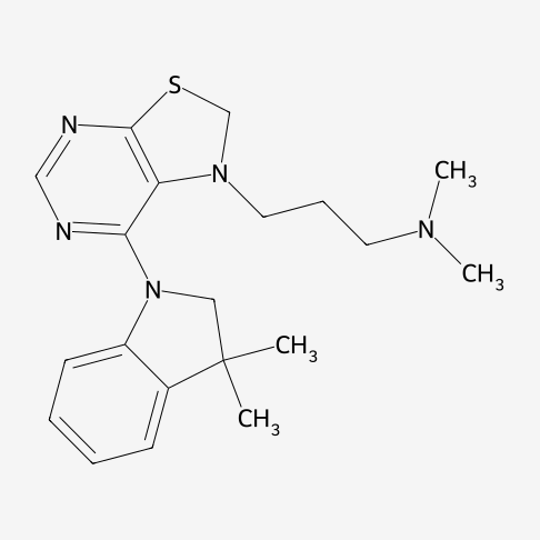 CN(C)CCCN1CSc2ncnc(N3CC(C)(C)c4ccccc43)c21